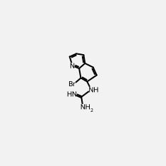 N=C(N)Nc1ccc2cccnc2c1Br